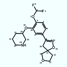 FC(F)Oc1ccc(C2=NOC3(CCOC3)C2)cc1OC1CCCNC1